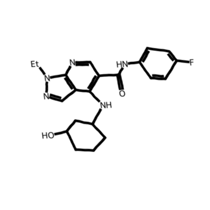 CCn1ncc2c(NC3CCCC(O)C3)c(C(=O)Nc3ccc(F)cc3)cnc21